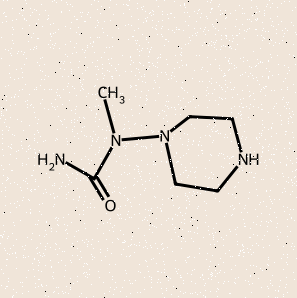 CN(C(N)=O)N1CCNCC1